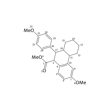 COC(=O)C1c2ccc(OC)cc2C2CCCCC2C1c1ccc(OC)cc1